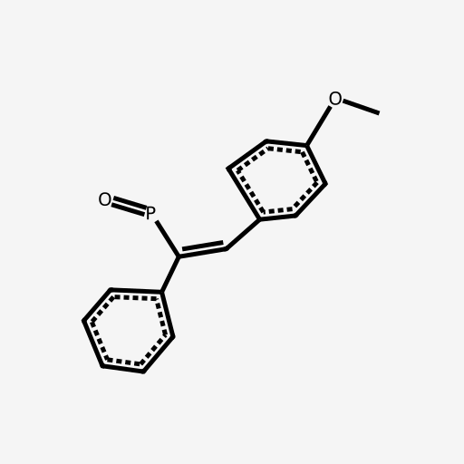 COc1ccc(C=C(P=O)c2ccccc2)cc1